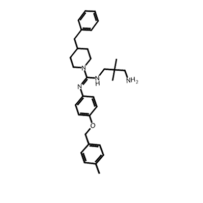 Cc1ccc(COc2ccc(/N=C(\NCC(C)(C)CN)N3CCC(Cc4ccccc4)CC3)cc2)cc1